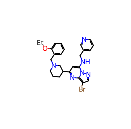 CCOc1ccccc1CN1CCCC(c2cc(NCc3cccnc3)n3ncc(Br)c3n2)C1